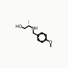 COc1ccc(CN[C@@H](C)CO)cc1